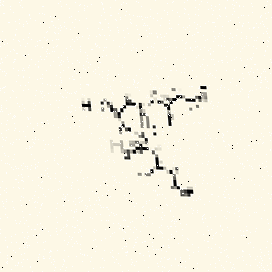 CC(CC[SiH2]CC(F)CCF)C[SiH2]CC(F)CCF